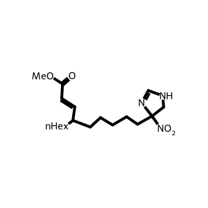 CCCCCCC(/C=C/C(=O)OC)CCCCCC1([N+](=O)[O-])CNC=N1